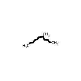 [CH2]CCCC=CC(C)CCC[CH2]